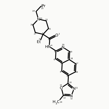 CCC1(C(=O)Nc2cc3cc(-c4nnc(C)o4)ccc3cn2)CCN(CC(C)C)CC1